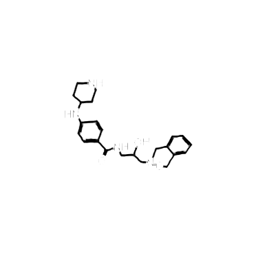 O=C(NCC(O)CN1CCc2ccccc2C1)c1ccc(NC2CCNCC2)cc1